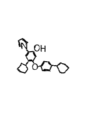 Oc1cc(Oc2ccc(C3CCCCC3)cc2)c(C2CCCCC2)cc1-n1cccc1